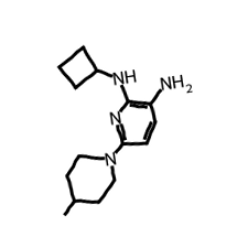 CC1CCN(c2ccc(N)c(NC3CCC3)n2)CC1